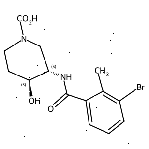 Cc1c(Br)cccc1C(=O)N[C@H]1CN(C(=O)O)CC[C@@H]1O